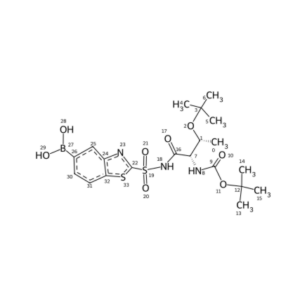 C[C@@H](OC(C)(C)C)[C@H](NC(=O)OC(C)(C)C)C(=O)NS(=O)(=O)c1nc2cc(B(O)O)ccc2s1